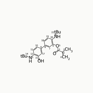 C=C(C)C(=O)Oc1cc(-c2ccc(NC(C)(C)C)c(O)c2)ccc1NC(C)(C)C